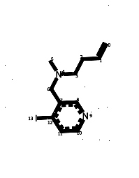 C=CCCN(C)Cc1cnccc1I